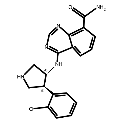 NC(=O)c1cccc2c(N[C@H]3CNC[C@@H]3c3ccccc3Cl)ncnc12